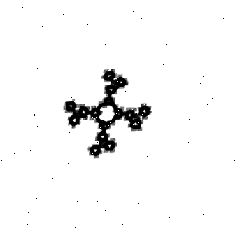 c1ccc(-n2c3ccccc3c3cc(-c4cc5cc(c4)Cc4cc(cc(-c6ccc7c(c6)c6ccccc6n7-c6ccccc6)c4)Cc4cc(cc(-c6ccc7c(c6)c6ccccc6n7-c6ccccc6)c4)Cc4cc(cc(-c6ccc7c(c6)c6ccccc6n7-c6ccccc6)c4)C5)ccc32)cc1